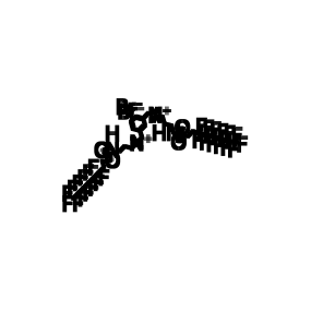 C[N+](C)(CCCNS(=O)(=O)CCC(F)(F)C(F)(F)C(F)(F)C(F)(F)C(F)(F)C(F)(F)F)Cc1cccc(C[N+](C)(C)CCCNS(=O)(=O)CCC(F)(F)C(F)(F)C(F)(F)C(F)(F)C(F)(F)C(F)(F)F)c1.[Br-].[Br-]